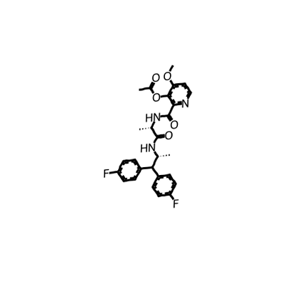 COc1ccnc(C(=O)N[C@@H](C)C(=O)N[C@H](C)C(c2ccc(F)cc2)c2ccc(F)cc2)c1OC(C)=O